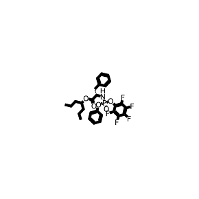 CCCC(CCC)OC(=O)[C@H](Cc1ccccc1)NP(=O)(Oc1ccccc1)Oc1c(F)c(F)c(F)c(F)c1F